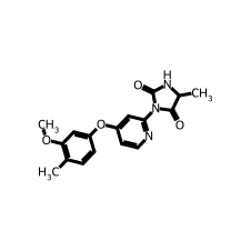 COc1cc(Oc2ccnc(N3C(=O)NC(C)C3=O)c2)ccc1C